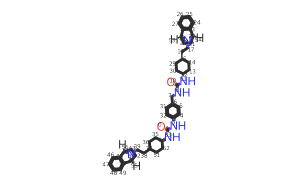 O=C(Nc1ccc(CNC(=O)N[C@H]2CC[C@H](CCN3[C@@H]4CC[C@H]3c3ccccc34)CC2)cc1)NC1CCC(CCN2[C@@H]3CC[C@H]2c2ccccc23)CC1